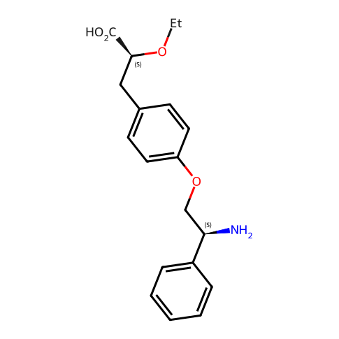 CCO[C@@H](Cc1ccc(OC[C@@H](N)c2ccccc2)cc1)C(=O)O